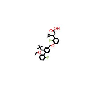 CCO[C@@H](c1cc(COc2cccc([C@H](CC(=O)O)C3CC3)c2F)ccc1-c1ccccc1F)C(C)(C)C